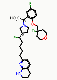 O=C(O)[C@@H](c1cc(F)ccc1OCC1(F)CCOCC1)N1CC[C@@H](C(F)CCCCc2ccc3c(n2)NCCC3)C1